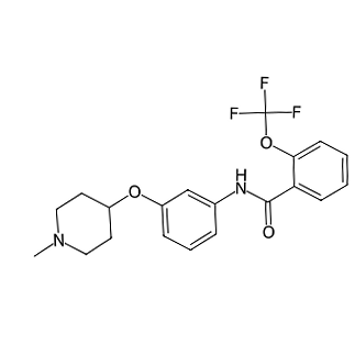 CN1CCC(Oc2cccc(NC(=O)c3ccccc3OC(F)(F)F)c2)CC1